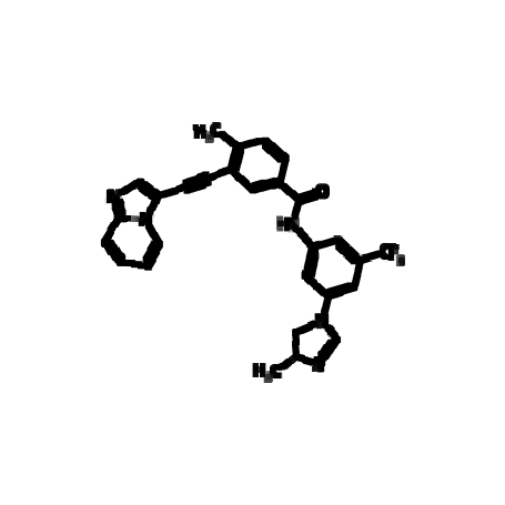 Cc1ccc(C(=O)Nc2cc(N3C=NC(C)C3)cc(C(F)(F)F)c2)cc1C#Cc1cnc2ccccn12